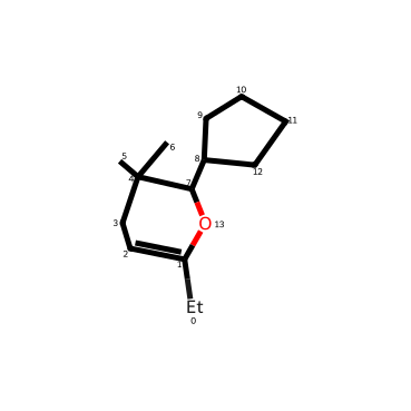 CCC1=CCC(C)(C)C(C2CCCC2)O1